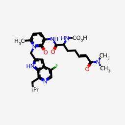 Cc1ccc(NC(=O)C(CCC=CC(=O)N(C)C)NC(=O)O)c(=O)n1Cc1cc2c(F)cnc(CC(C)C)c2[nH]1